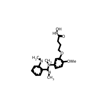 C=Nc1ccccc1/C(=N\C)N(C)c1ccc(OC)c(OCCCC(=O)NO)c1